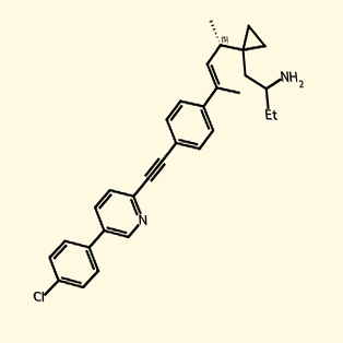 CCC(N)CC1([C@@H](C)C=C(C)c2ccc(C#Cc3ccc(-c4ccc(Cl)cc4)cn3)cc2)CC1